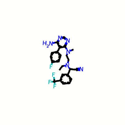 CCN(CCN(C)c1ncnc(N)c1-c1ccc(F)cc1)C(C#N)c1cccc(C(F)(F)F)c1